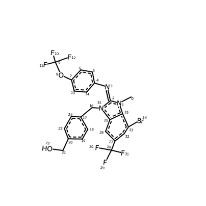 Cn1/c(=N/c2ccc(OC(F)(F)F)cc2)n(Cc2ccc(CO)cc2)c2cc(C(F)(F)F)cc(Br)c21